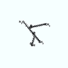 CCCCCCC/C=C/C(CCCCCCCC(=O)OC/C(=C/CCCCCCC)CCCCCCCCC(=O)O)COC(=O)CCCCCCCCCCCCCCCCC